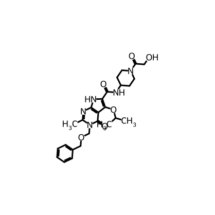 Cc1nc2[nH]c(C(=O)NC3CCN(C(=O)CO)CC3)c(OC(C)C)c2c(=O)n1COCc1ccccc1